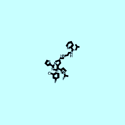 CC(C)C[C@H](NCCNCC[C@H]1CC2=C(c3ccn(C(C)F)n3)[C@H](c3ccc(F)cc3Cl)N=C(c3cccs3)N2C1)c1ccccn1